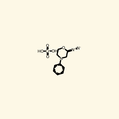 [N-]=[N+]=C1CN(c2ccccc2)CCO1.[O]=[Cr](=[O])([OH])[OH]